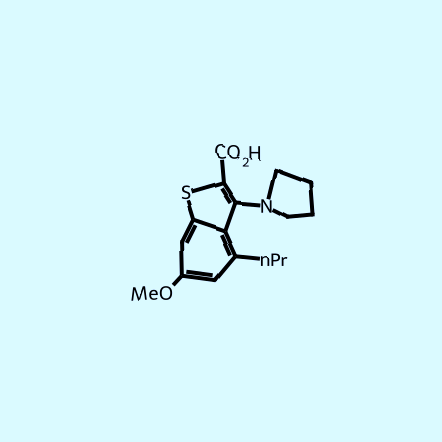 CCCc1cc(OC)cc2sc(C(=O)O)c(N3CCCC3)c12